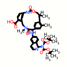 Cc1cc2ccc1[C@@H](C)COC(=O)Nc1ccc(C(=O)O)c(c1)CN(C)C(=O)[C@@H]2Nc1ccc2c(N(C(=O)OC(C)(C)C)C(=O)OC(C)(C)C)nccc2c1